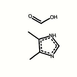 Cc1nc[nH]c1C.O=CO